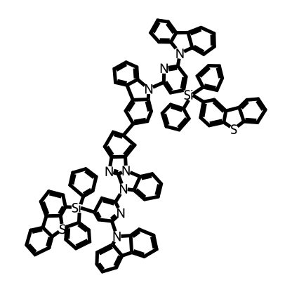 c1ccc([Si](c2ccccc2)(c2cc(-n3c4ccccc4c4ccccc43)nc(-n3c4ccccc4c4cc(-c5ccc6nc7n(-c8cc([Si](c9ccccc9)(c9ccccc9)c9cccc%10c9sc9ccccc9%10)cc(-n9c%10ccccc%10c%10ccccc%109)n8)c8ccccc8n7c6c5)ccc43)c2)c2ccc3sc4ccccc4c3c2)cc1